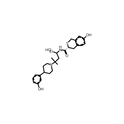 CCC(CC(C)(C)N1CCC(c2cccc(O)c2)CC1)NC(=O)[C@H]1Cc2ccc(O)cc2CS1.Cl